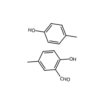 Cc1ccc(O)c(C=O)c1.Cc1ccc(O)cc1